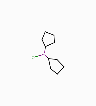 ClP(C1CCCC1)C1CCCC1